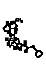 CN(C)C[C@@H](OC(=O)N1Cc2c(NC(=O)C3CC3c3ccccc3)n[nH]c2C1(C)C)c1ccccn1